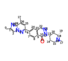 Cc1cn2nc(-c3ccc4c(=O)n([C@H]5CCN(C)[C@@H](C)C5)ncc4c3)cc(C)c2n1